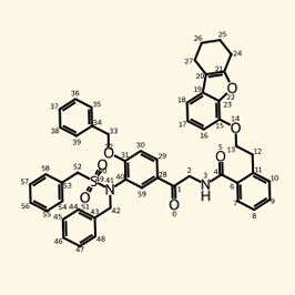 O=C(CNC(=O)c1ccccc1CCOc1cccc2c3c(oc12)CCCC3)c1ccc(OCc2ccccc2)c(N(Cc2ccccc2)S(=O)(=O)Cc2ccccc2)c1